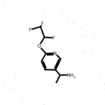 CC(N)c1ccc(OC(F)C(F)F)nc1